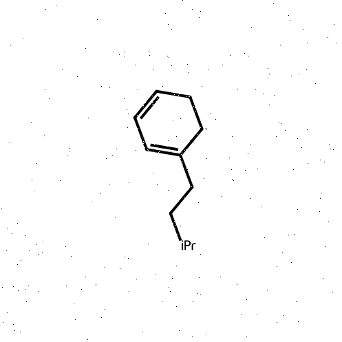 CC(C)CCC1=CC=CC[CH]1